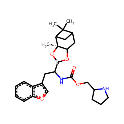 CC1(C)C2CC3OB(C(Cc4coc5ccccc45)NC(=O)OCC4CCCN4)O[C@@]3(C)C1C2